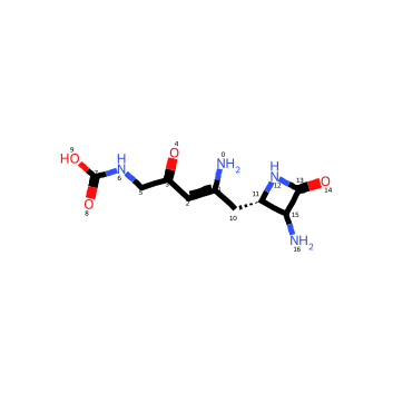 N/C(=C\C(=O)CNC(=O)O)C[C@@H]1NC(=O)C1N